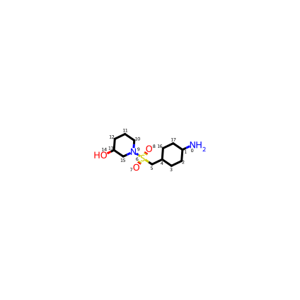 NC1CCC(CS(=O)(=O)N2CCCC(O)C2)CC1